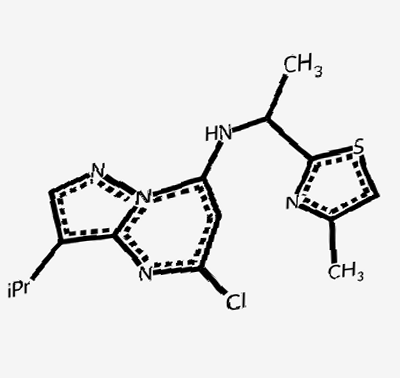 Cc1csc(C(C)Nc2cc(Cl)nc3c(C(C)C)cnn23)n1